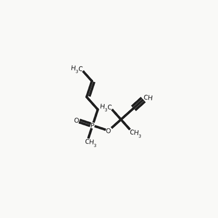 C#CC(C)(C)OP(C)(=O)CC=CC